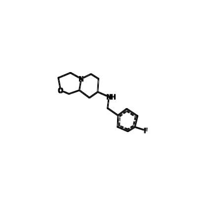 Fc1ccc(CNC2CCN3CCOCC3C2)cc1